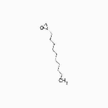 CCCCCCCCCC[C@H]1CO1